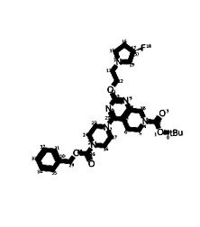 CC(C)(C)OC(=O)N1CCc2c(nc(OCCN3CC[C@H](F)C3)nc2N2CCN(C(=O)OCc3ccccc3)CC2)C1